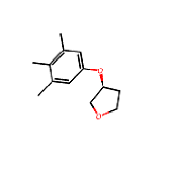 Cc1cc(O[C@H]2CCOC2)cc(C)c1C